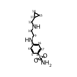 NS(=O)(=O)c1ccc(NCCNCC2CC2)cc1